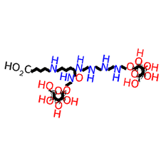 O=C(O)CCCCCNCCCCC(NCCNCCNCCNCCO[C@H]1O[C@H](CO)[C@@H](O)[C@H](O)[C@H]1O)C(=O)NCCO[C@H]1O[C@H](CO)[C@@H](O)[C@H](O)[C@H]1O